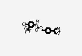 O=C(Nc1ccc(Cl)c(C(F)(F)F)c1)OCc1ccc(-c2cncnc2)cc1